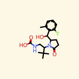 Cc1cccc(F)c1C(O)C1CCC(=O)N1C(CNC(=O)O)C(C)(C)C